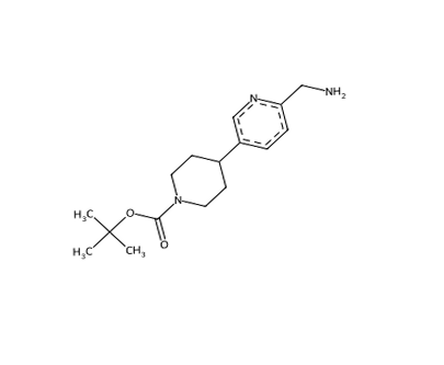 CC(C)(C)OC(=O)N1CCC(c2ccc(CN)nc2)CC1